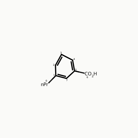 [CH2]CCc1cccc(C(=O)O)c1